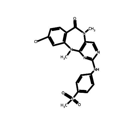 CN1C(=O)c2ccc(Cl)cc2N(C)c2nc(Nc3ccc(S(C)(=O)=O)cc3)ncc21